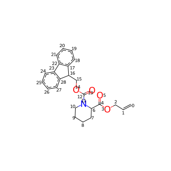 C=CCOC(=O)C1CCCCN1C(=O)OCC1c2ccccc2-c2ccccc21